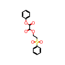 O=C(OCCS(=O)(=O)c1ccccc1)C(=O)Oc1ccccc1